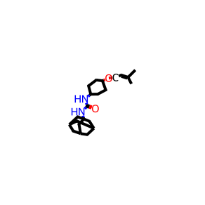 CC(C)=CCOC1CCC(NC(=O)NC23CC4CC(CC(C4)C2)C3)CC1